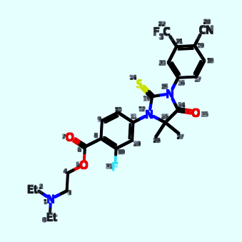 CCN(CC)CCOC(=O)c1ccc(N2C(=S)N(c3ccc(C#N)c(C(F)(F)F)c3)C(=O)C2(C)C)cc1F